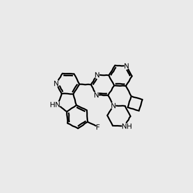 Fc1ccc2[nH]c3nccc(-c4nc(N5CCNCC5)c5c(C6CCC6)cncc5n4)c3c2c1